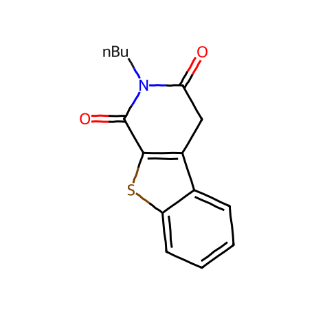 CCCCN1C(=O)Cc2c(sc3ccccc23)C1=O